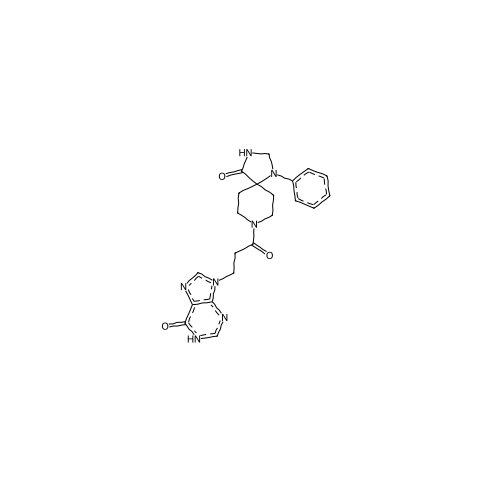 O=C(CCn1cnc2c(=O)[nH]cnc21)N1CCC2(CC1)C(=O)NCN2c1ccccc1